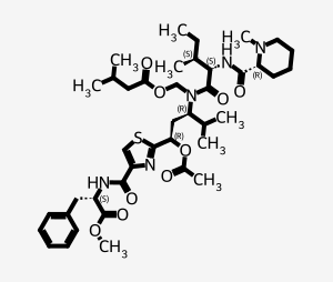 CC[C@H](C)[C@H](NC(=O)[C@H]1CCCCN1C)C(=O)N(COC(=O)CC(C)C)[C@H](C[C@@H](OC(C)=O)c1nc(C(=O)N[C@@H](Cc2ccccc2)C(=O)OC)cs1)C(C)C